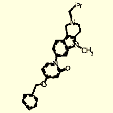 CC(C)CN1CCc2c(c3ccc(-n4ccc(OCc5ccccc5)cc4=O)cc3n2C)C1